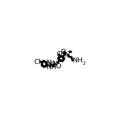 CCN(CCCN)C(=O)c1ccc(C(=O)NC(C)c2nc3cc(Cl)ccc3[nH]2)cc1Cl